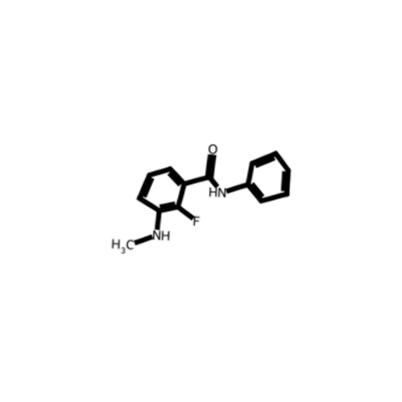 CNc1cccc(C(=O)Nc2ccccc2)c1F